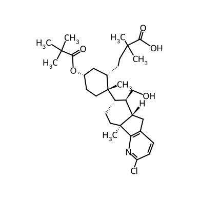 CC(C)(C)C(=O)O[C@H]1CC[C@@](C)([C@H]2CC[C@]3(C)c4nc(Cl)ccc4C[C@H]3[C@@H]2CO)[C@@H](CCC(C)(C)C(=O)O)C1